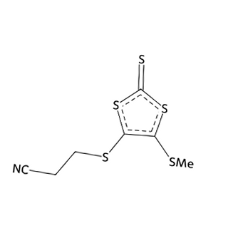 CSc1sc(=S)sc1SCCC#N